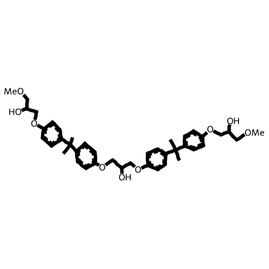 COCC(O)COc1ccc(C(C)(C)c2ccc(OCC(O)COc3ccc(C(C)(C)c4ccc(OCC(O)COC)cc4)cc3)cc2)cc1